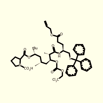 C=CCOC(=O)CC[C@@H](CSC(c1ccccc1)(c1ccccc1)c1ccccc1)NC(=O)[C@@H](C)[C@H](C[C@H](C)C[C@H](OC(=O)C1CCCN1C(=O)O)C(C)(C)C)OC(=O)OCC(Cl)(Cl)Cl